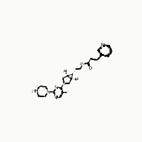 O=C(/C=C/c1cccnc1)NCC[C@@H]1[C@H]2CN(c3nc(N4CCNCC4)ncc3F)C[C@@H]12